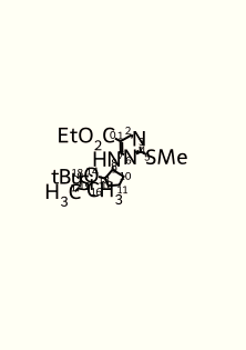 CCOC(=O)c1cnc(SC)nc1NC1CCCC1O[Si](C)(C)C(C)(C)C